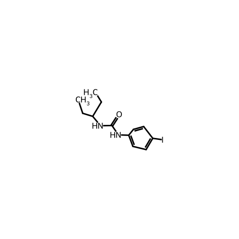 CCC(CC)NC(=O)Nc1ccc(I)cc1